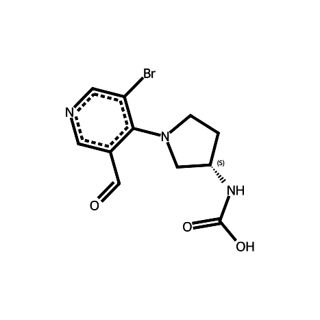 O=Cc1cncc(Br)c1N1CC[C@H](NC(=O)O)C1